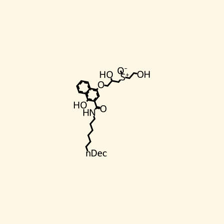 CCCCCCCCCCCCCCCCNC(=O)c1cc(OCC(O)C[S+]([O-])CCO)c2ccccc2c1O